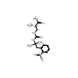 CC(C)(Cc1ccccc1[N+](=O)[O-])OC(=O)OC[C@H](N)C(=O)O